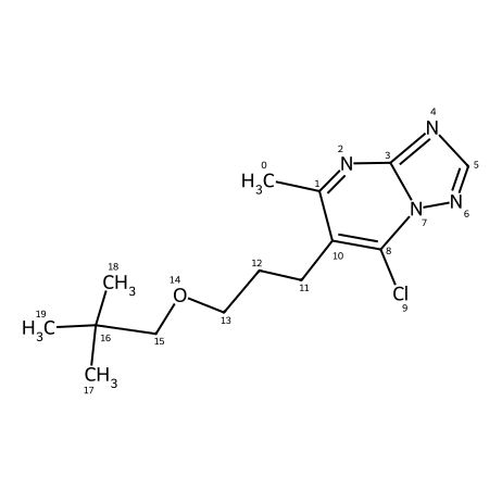 Cc1nc2ncnn2c(Cl)c1CCCOCC(C)(C)C